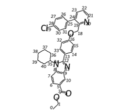 CCOC(=O)c1ccc2c(c1)nc(-c1ccc(OCc3ncccc3-c3ccc(Cl)cc3)cc1)n2C1CCCCC1